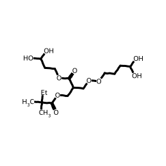 CCC(C)(C)C(=O)OCC(COOCCCC(O)O)C(=O)OCCC(O)O